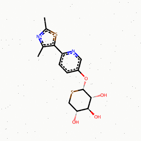 Cc1nc(C)c(-c2ccc(O[C@H]3SC[C@@H](O)[C@H](O)[C@H]3O)cn2)s1